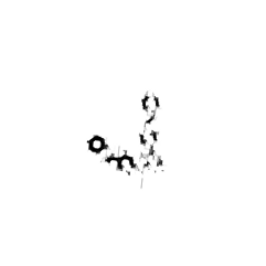 CCc1nc(Nc2ccc(C(=O)Nc3ccccc3)cn2)nc(N2CCN(CCN3CCOCC3)CC2)n1